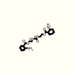 Nc1ccccc1C(=O)OCCNC(=O)NCCOC(=O)c1ccccc1N